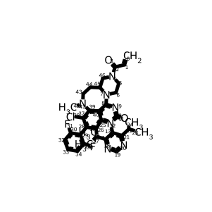 C=CC(=O)N1CCN2c3nc(=O)n(-c4c(C(C)C)ncnc4C(C)C)c4c(F)c(-c5c(F)cccc5F)c(Cl)c(c34)N(C)CCC2C1